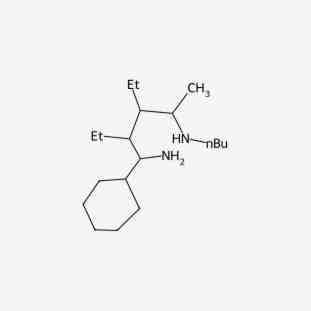 CCCCNC(C)C(CC)C(CC)C(N)C1CCCCC1